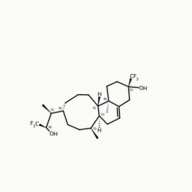 C[C@@H]([C@@H]1CCC[C@H]2[C@@H](CC=C3C[C@](O)(C(F)(F)F)CC[C@@]32C)[C@@H](C)CC1)[C@@H](O)C(F)(F)F